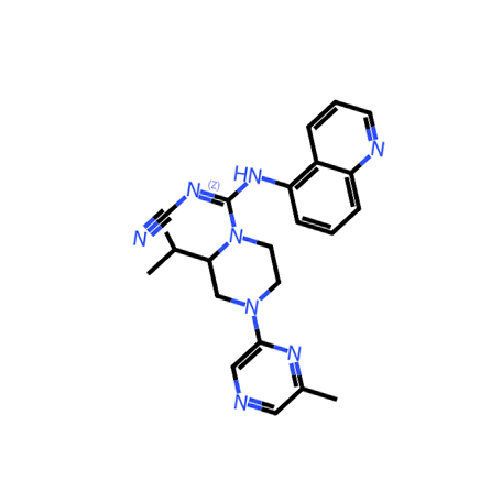 Cc1cncc(N2CCN(/C(=N\C#N)Nc3cccc4ncccc34)C(C(C)C)C2)n1